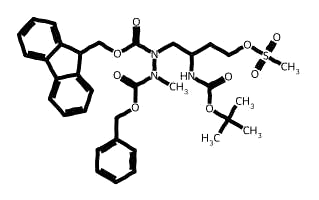 CN(C(=O)OCc1ccccc1)N(CC(CCOS(C)(=O)=O)NC(=O)OC(C)(C)C)C(=O)OCC1c2ccccc2-c2ccccc21